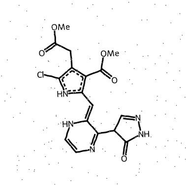 COC(=O)Cc1c(Cl)[nH]c(C=C2NC=CN=C2C2C=NNC2=O)c1C(=O)OC